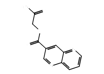 NC(=O)COC(=O)c1cnc2cccnc2c1